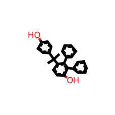 CC(C)(c1ccc(O)cc1)c1ccc(O)c(-c2ccccc2)c1-c1ccccc1